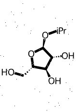 CC(C)O[C@@H]1O[C@@H](CO)[C@H](O)[C@H]1O